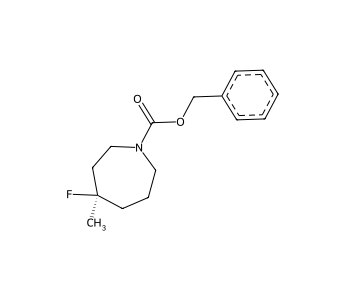 C[C@@]1(F)CCCN(C(=O)OCc2ccccc2)CC1